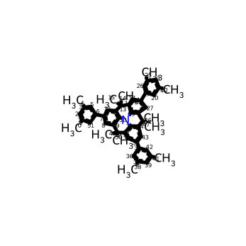 Cc1cc(C)cc(-c2cc3c4c(c2)C(C)(C)c2cc(-c5cc(C)cc(C)c5)cc5c2N4c2c(cc(-c4cc(C)cc(C)c4)cc2C5(C)C)C3(C)C)c1